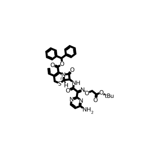 C=CC1=C(C(=O)OC(c2ccccc2)c2ccccc2)N2C(=O)C(NC(=O)C(=NOCC(=O)OC(C)(C)C)c3nccc(N)n3)[C@@H]2SC1